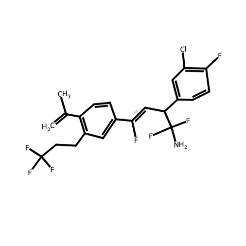 C=C(C)c1ccc(/C(F)=C/C(c2ccc(F)c(Cl)c2)C(N)(F)F)cc1CCC(F)(F)F